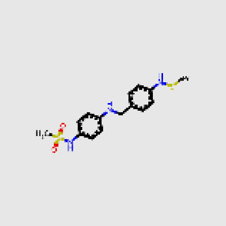 CC(C)SNc1ccc(CNc2ccc(NS(C)(=O)=O)cc2)cc1